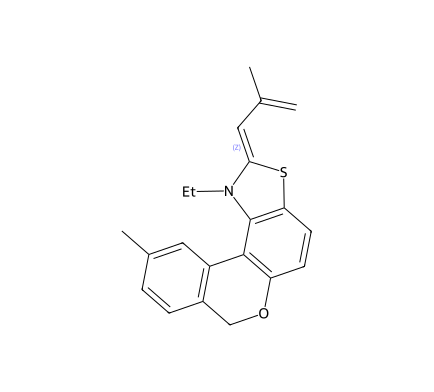 C=C(C)/C=C1\Sc2ccc3c(c2N1CC)-c1cc(C)ccc1CO3